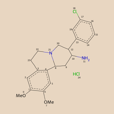 COc1cc2c(cc1OC)C1CC(N)C(c3cccc(Cl)c3)CN1CC2.Cl